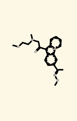 COCCN(C)CC(=O)c1c2ccc(/C(C)=N/OC)cc2n2ccccc12